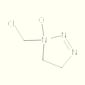 [O-][N+]1(CCl)CCN=N1